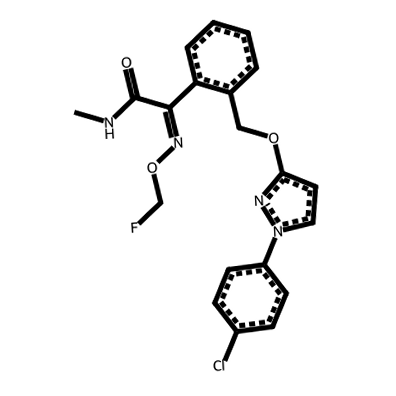 CNC(=O)C(=NOCF)c1ccccc1COc1ccn(-c2ccc(Cl)cc2)n1